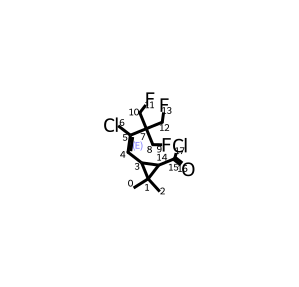 CC1(C)C(/C=C(/Cl)C(CF)(CF)CF)C1C(=O)Cl